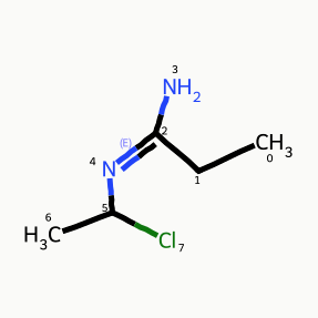 CC/C(N)=N\C(C)Cl